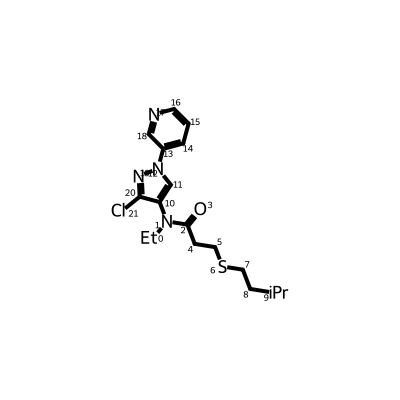 CCN(C(=O)CCSCCC(C)C)c1cn(-c2cccnc2)nc1Cl